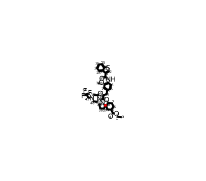 CCOC(=O)C1CCC(OC(C(=O)Cc2ccc(NC(=O)c3csc4ccccc34)c(OC)c2)(N2CCCC2)N2CCN(CC(F)(F)F)CC2)CC1